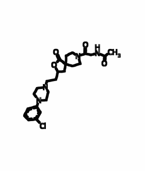 CC(=O)NCC(=O)N1CCC2(CC1)CC(CCN1CCN(c3cccc(Cl)c3)CC1)OC2=O